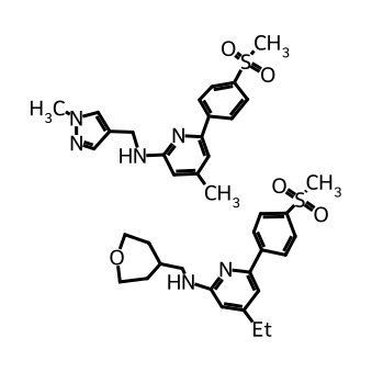 CCc1cc(NCC2CCOCC2)nc(-c2ccc(S(C)(=O)=O)cc2)c1.Cc1cc(NCc2cnn(C)c2)nc(-c2ccc(S(C)(=O)=O)cc2)c1